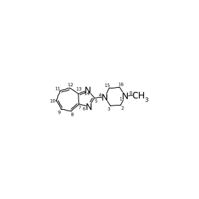 CN1CCN(c2nc3cccccc-3n2)CC1